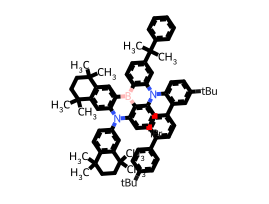 CC(C)c1cc2c3c(c1)N(c1ccc(C(C)(C)C)cc1-c1ccc(-c4ccc(C(C)(C)C)cc4)cc1)c1cc(C(C)(C)c4ccccc4)ccc1B3c1cc3c(cc1N2c1ccc2c(c1)C(C)(C)CCC2(C)C)C(C)(C)CCC3(C)C